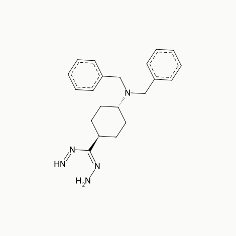 N=N/C(=N\N)[C@H]1CC[C@H](N(Cc2ccccc2)Cc2ccccc2)CC1